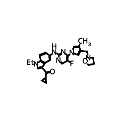 CCn1cc(C(=O)C2CC2)c2cc(Nc3ncc(F)c(-n4cc(C)c(CN5CCCO5)c4)n3)ccc21